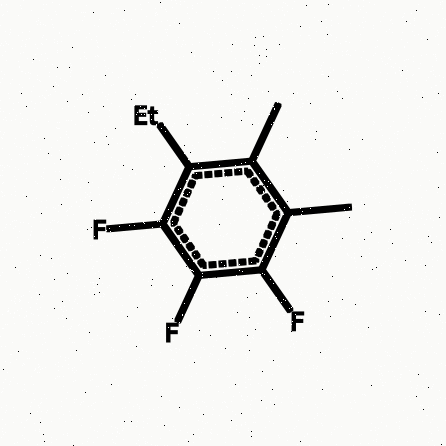 CCc1c(C)c(C)c(F)c(F)c1F